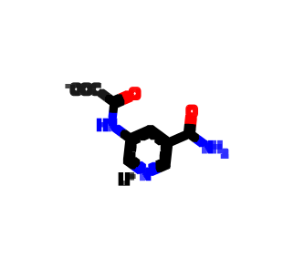 NC(=O)c1cncc(NC(=O)C(=O)[O-])c1.[Li+]